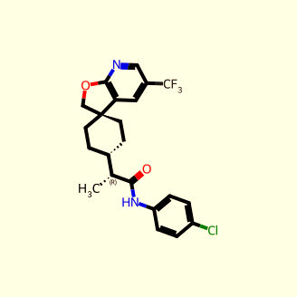 C[C@@H](C(=O)Nc1ccc(Cl)cc1)[C@H]1CC[C@@]2(CC1)COc1ncc(C(F)(F)F)cc12